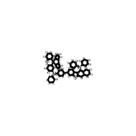 C1=CCCC(N(c2ccc(-c3ccc4c(c3)sc3cc5ccccc5c(N(c5ccccc5)c5ccccc5)c34)cc2)c2ccc3c(c2)C2(c4ccccc4S3)c3ccccc3-c3ccccc32)=C1